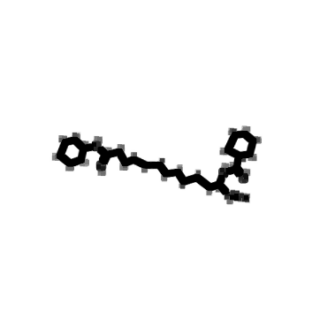 CCCCCCC(CCCCCCCCCCC(=O)OC1CCCCC1)OC(=O)C1CCCCC1